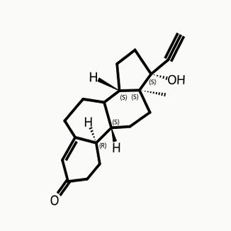 C#C[C@]1(O)CC[C@H]2C3CCC4=CC(=O)CC[C@@H]4[C@H]3CC[C@@]21C